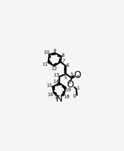 CCOC(=O)/C(=C/c1ccccc1)Cc1ccncc1